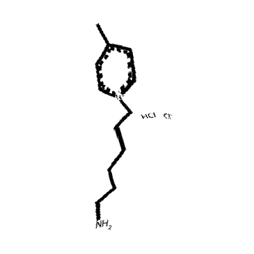 Cc1cc[n+](CCCCCCN)cc1.Cl.[Cl-]